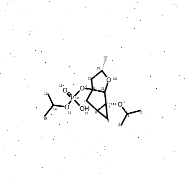 CC(C)O[C@]12CC1CC1(OP(=O)(O)OC(C)C)C[C@H](C)OC12